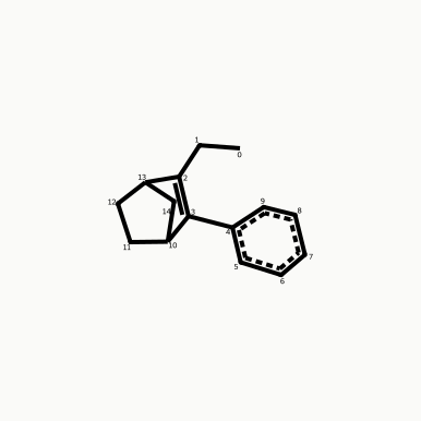 CCC1=C(c2ccccc2)C2CCC1C2